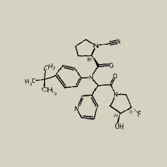 CC(C)(C)c1ccc(N(C(=O)[C@H]2CCCN2C#N)C(C(=O)N2C[C@H](O)[C@@H](F)C2)c2cccnc2)cc1